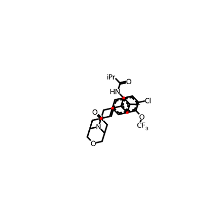 CC(C)C(=O)Nc1cc(Cl)c(OC(F)(F)F)cc1C=CC(=O)N1C2COCC1CN(Cc1ccc(F)cc1)C2